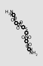 Nc1ccc(OC(=O)c2ccc3c(c2)C(=O)N(c2ccc(Sc4ccc(N5C(=O)c6ccc(C(=O)Oc7ccc(N)nc7)cc6C5=O)cc4)cc2)C3=O)cn1